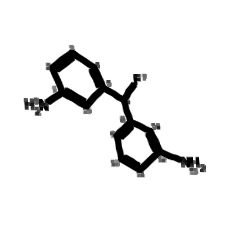 Nc1cccc(C(F)c2cccc(N)c2)c1